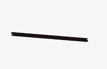 S=S=S=S=S=S=S=S=S=S=S=S=S=S=S=S=S=S=S=S=S=S=S=S=S=S=S=S=S=S=S=S=S=S=S=S=S=S=S=S=S=S=S=S=S=S=S=S=S=S=S=S=S=S=S=S=S=S=S=S=S=S=S=S=S=S=S=S=S=S=S=S=S=S=S=S=S=S=S=S=S=S=S=S=S=S=S=S=S=S=S=S=S=S=S=S=S=S=S=S=S=S=S=S=S=S=S=S=S=S=S=S=S=S=S=S=S=S=S=S=S=S=S=S=S=S=S=S=S=S=S=S=S=S=S=S=S=S=S=S=S=S=S=S=S